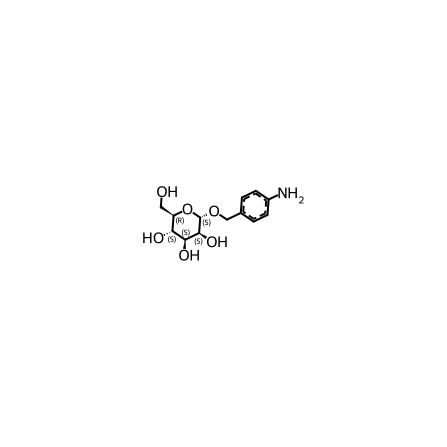 Nc1ccc(CO[C@H]2O[C@H](CO)[C@@H](O)[C@H](O)[C@@H]2O)cc1